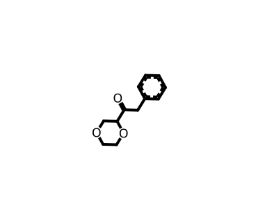 O=C(Cc1ccccc1)C1COCCO1